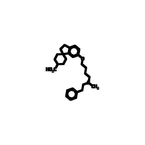 CN(CCCCOc1ccc2c(c1)C1(CC2)CCC(C(=O)O)CC1)CCc1ccccc1